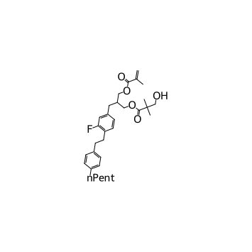 C=C(C)C(=O)OCC(COC(=O)C(C)(C)CO)Cc1ccc(CCc2ccc(CCCCC)cc2)c(F)c1